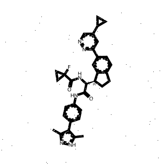 Cc1n[nH]c(C)c1-c1ccc(NC(=O)C(NC(=O)C2(F)CC2)[C@@H]2CCc3ccc(-c4cc(C5CC5)cnn4)cc32)cc1